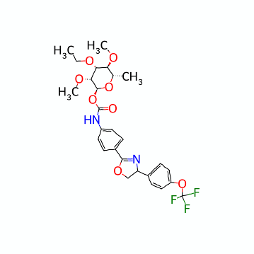 CCO[C@@H]1[C@@H](OC)[C@H](C)O[C@@H](OC(=O)Nc2ccc(C3=NC(c4ccc(OC(F)(F)F)cc4)CO3)cc2)[C@@H]1OC